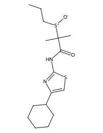 CCC[S+]([O-])C(C)(C)C(=O)Nc1nc(C2CCCCC2)cs1